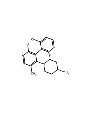 Cc1nnc(Cl)c(-c2c(F)cccc2Cl)c1N1CCC(C)CC1